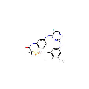 COc1cc(Nc2ncc(F)c(Nc3ccc4c(c3)NC(=O)C(C)(C)S4(=O)=O)n2)cc(OC)c1OC